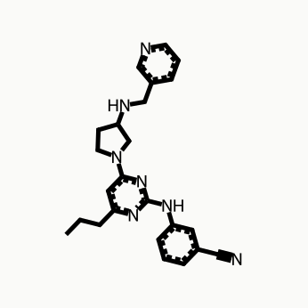 CCCc1cc(N2CCC(NCc3cccnc3)C2)nc(Nc2cccc(C#N)c2)n1